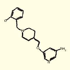 Nc1cncc(OCC2CCN(Cc3ccccc3Cl)CC2)c1